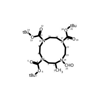 CC1CN(C(=O)OC(C)(C)C)CCN(C(=O)OC(C)(C)C)CCN(C(=O)OC(C)(C)C)CCN1C=O